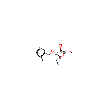 CC[C@H]1O[C@@H](OC)[C@H](O)[C@H]1OCc1ccccc1C